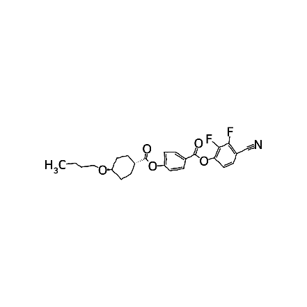 CCCCO[C@H]1CC[C@H](C(=O)Oc2ccc(C(=O)Oc3ccc(C#N)c(F)c3F)cc2)CC1